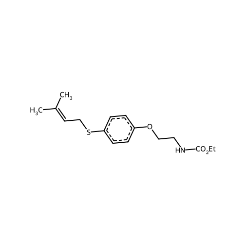 CCOC(=O)NCCOc1ccc(SCC=C(C)C)cc1